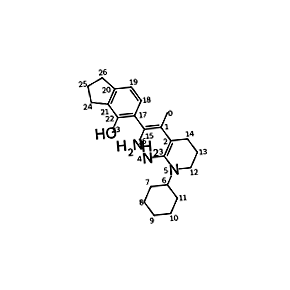 C/C(C1=C(N)N(C2CCCCC2)CCC1)=C(/N)c1ccc2c(c1O)CCC2